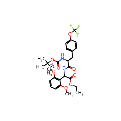 CCOC(=O)C(NC(=O)C(Cc1ccc(OC(F)(F)F)cc1)NC(=O)OC(C)(C)C)c1c(OC)cccc1OC